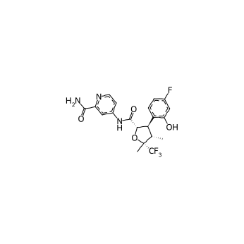 C[C@H]1[C@H](c2ccc(F)cc2O)[C@@H](C(=O)Nc2ccnc(C(N)=O)c2)O[C@@]1(C)C(F)(F)F